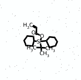 C=CC(=O)O[Si](C1CCCCC1)(C1CCCCC1)C(C)(C)C